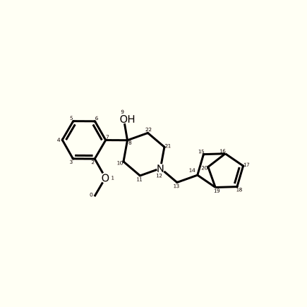 COc1ccccc1C1(O)CCN(CC2CC3C=CC2C3)CC1